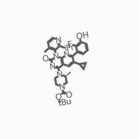 Cc1ccnc(C(C)C)c1-n1c(=O)nc(N2CCN(C(=O)OC(C)(C)C)C[C@@H]2C)c2cc(C3CC3)c(-c3cccc(O)c3F)nc21